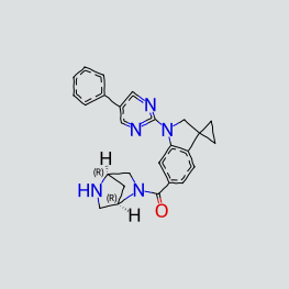 O=C(c1ccc2c(c1)N(c1ncc(-c3ccccc3)cn1)CC21CC1)N1C[C@H]2C[C@@H]1CN2